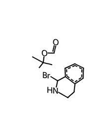 BrC1NCCc2ccccc21.CC(C)(C)OC=O